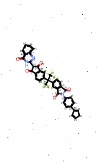 O=C1c2ccc(C(c3ccc4c(c3)C(=O)N(c3ccc(C5=CCC=C5)cc3)C4=O)(C(F)(F)F)C(F)(F)F)cc2C(=O)C1c1nc2ccccc2c(=O)[nH]1